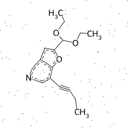 CCC#Cc1cncc2cc(C(OCC)OCC)oc12